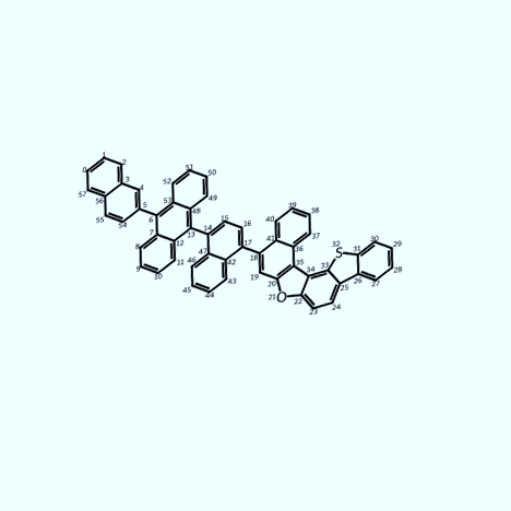 c1ccc2cc(-c3c4ccccc4c(-c4ccc(-c5cc6oc7ccc8c9ccccc9sc8c7c6c6ccccc56)c5ccccc45)c4ccccc34)ccc2c1